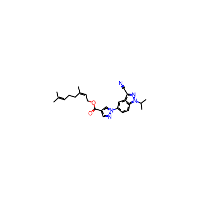 CC(C)=CCCC(C)=CCOC(=O)c1cnn(-c2ccc3c(c2)c(C#N)nn3C(C)C)c1